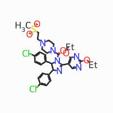 CCOc1ncc(C2=NC(c3ccc(Cl)cc3)C(c3ccc(Cl)cc3)N2C(=O)N2CCN(CCS(C)(=O)=O)CC2)c(OCC)n1